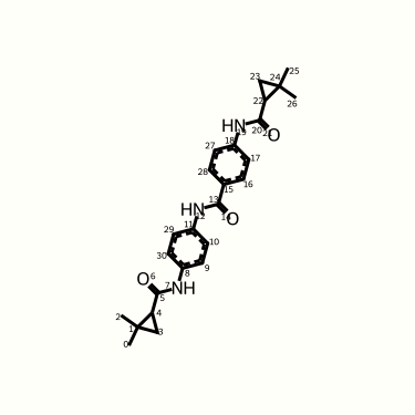 CC1(C)CC1C(=O)Nc1ccc(NC(=O)c2ccc(NC(=O)C3CC3(C)C)cc2)cc1